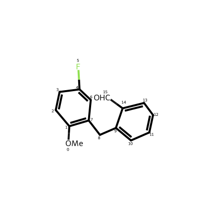 COc1ccc(F)cc1Cc1ccccc1C=O